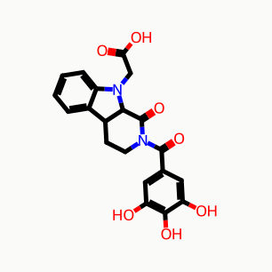 O=C(O)CN1c2ccccc2C2CCN(C(=O)c3cc(O)c(O)c(O)c3)C(=O)C21